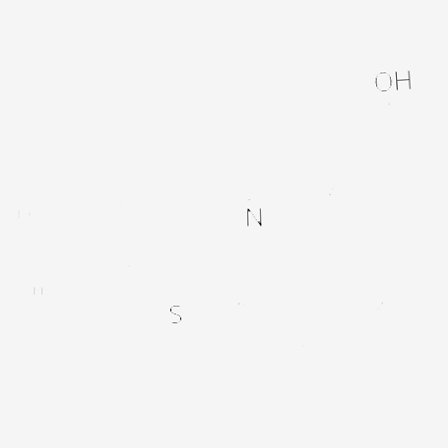 OCc1cccc(SC2CCC2)n1